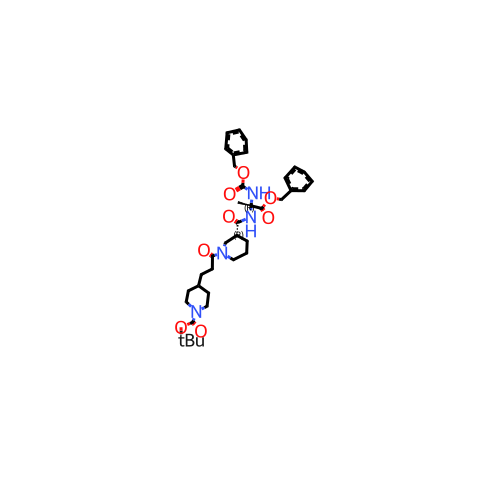 CC(C)(C)OC(=O)N1CCC(CCC(=O)N2CCC[C@@H](C(=O)N[C@](C)(NC(=O)OCc3ccccc3)C(=O)OCc3ccccc3)C2)CC1